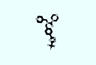 O=C(N1CCOCC1)N(Cc1ccncc1)Cc1ccc(-c2nnc(C(F)(F)F)o2)cc1